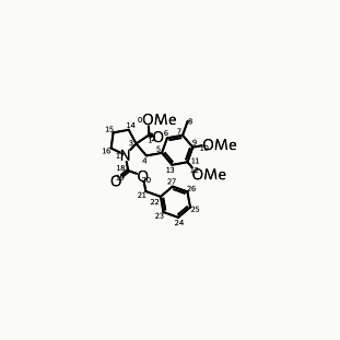 COC(=O)C1(Cc2cc(C)c(OC)c(OC)c2)CCCN1C(=O)OCc1ccccc1